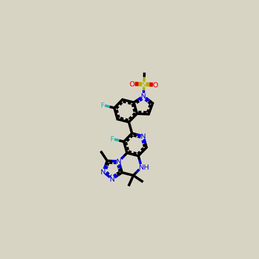 Cc1nnc2n1-c1c(cnc(-c3cc(F)cc4c3ccn4S(C)(=O)=O)c1F)NC2(C)C